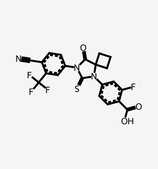 N#Cc1ccc(N2C(=O)C3(CCC3)N(c3ccc(C(=O)O)c(F)c3)C2=S)cc1C(F)(F)F